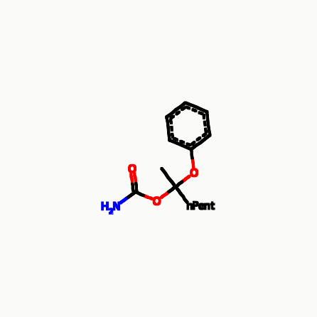 CCCCCC(C)(OC(N)=O)Oc1ccccc1